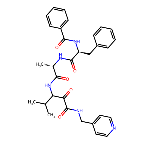 CC(C)C(NC(=O)[C@H](C)NC(=O)[C@H](Cc1ccccc1)NC(=O)c1ccccc1)C(=O)C(=O)NCc1ccncc1